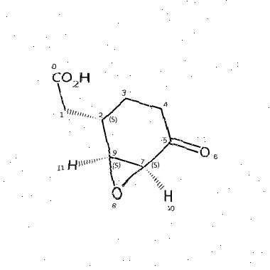 O=C(O)C[C@@H]1CCC(=O)[C@H]2O[C@@H]12